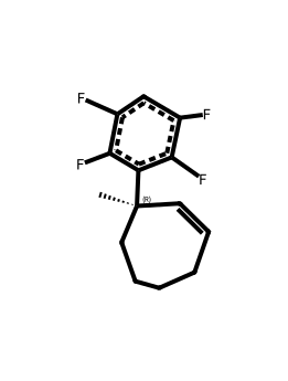 C[C@]1(c2c(F)c(F)cc(F)c2F)C=CCCCC1